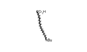 CCCCC=CCCCCCCCCCCCCCCCCCCCCCC(=O)O